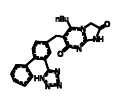 CCCCc1c(Cc2ccc(-c3ccccc3)c(-c3nnn[nH]3)c2)c(=O)nc2n1CC(=O)N2